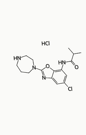 CC(C)C(=O)Nc1cc(Cl)cc2nc(N3CCCNCC3)oc12.Cl